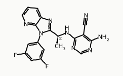 C[C@H](Nc1ncnc(N)c1C#N)c1nc2cccnc2n1-c1cc(F)cc(F)c1